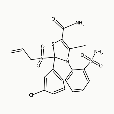 C=CCS(=O)(=O)C1(c2cccc(Cl)c2)SC(C(N)=O)=C(C)N1c1ccccc1S(N)(=O)=O